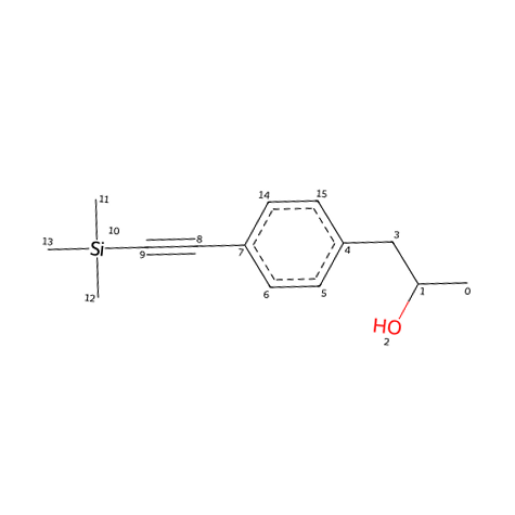 CC(O)Cc1ccc(C#C[Si](C)(C)C)cc1